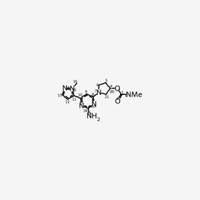 CNC(=O)O[C@@H]1CCN(c2cc(-c3ccnn3C)nc(N)n2)C1